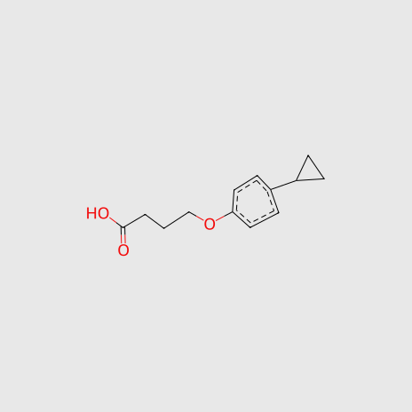 O=C(O)CCCOc1ccc(C2CC2)cc1